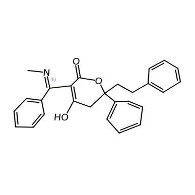 C/N=C(/C1=C(O)CC(CCc2ccccc2)(c2ccccc2)OC1=O)c1ccccc1